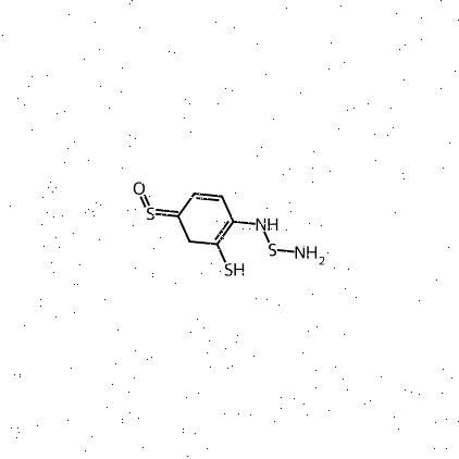 NSNC1=C(S)CC(=S=O)C=C1